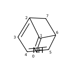 N=C1C2=CC=CC1C2